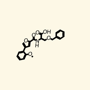 COc1ccccc1-c1coc(C(=O)NC(COCc2ccccc2)C(=O)O)c1